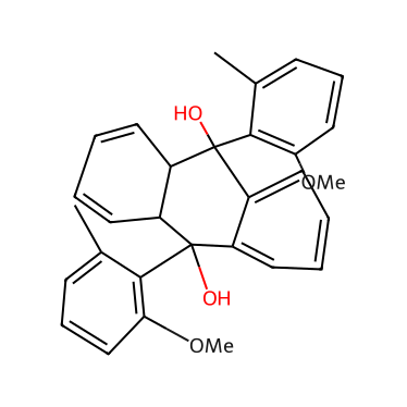 COc1cccc(C)c1C1(O)c2ccccc2C(O)(c2c(C)cccc2OC)C2C=CC=CC21